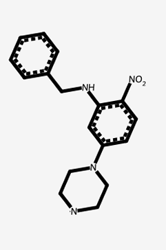 O=[N+]([O-])c1ccc(N2CC[N]CC2)cc1NCc1ccccc1